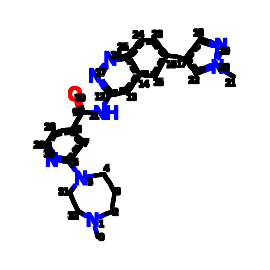 CN1CCCN(c2cc(C(=O)Nc3cc4cc(-c5cnn(C)c5)ccc4nn3)ccn2)CC1